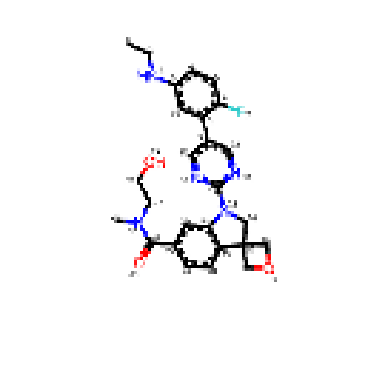 CCNc1ccc(F)c(-c2cnc(N3CC4(COC4)c4ccc(C(=O)N(C)CCO)cc43)nc2)c1